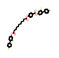 O=C(CCCCCCCCCC(=O)Oc1ccc(-c2ccc(F)cc2)c(F)c1)Oc1ccc(C(=O)Oc2ccc(-c3ccc(F)cc3)c(F)c2)cc1